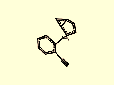 C#Cc1ccccc1[N+](=O)[O-].c1cc2cc-2c1